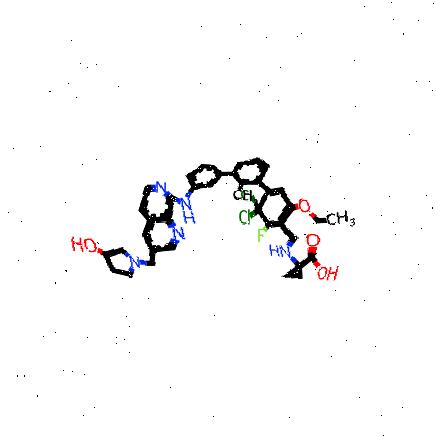 CCOC1=C(CNC2(C(=O)O)CC2)C(F)C(Cl)(Cl)C(c2cccc(-c3cccc(Nc4nccc5cc(CN6CCC(O)C6)cnc45)c3)c2C)=C1